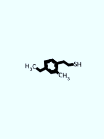 CCc1ccc(CCS)c(C)c1